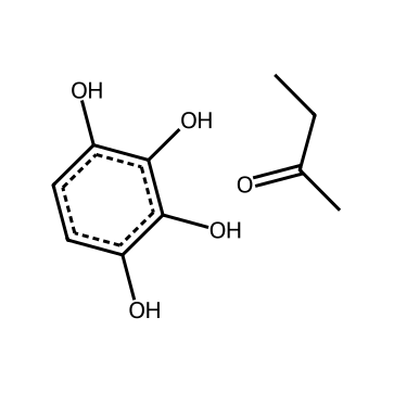 CCC(C)=O.Oc1ccc(O)c(O)c1O